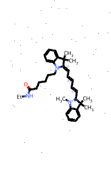 CCNC(=O)CCCCCN1\C(=C/C=C/C=C/C2=[N+](C)c3ccccc3C2(C)C)C(C)(C)c2ccccc21